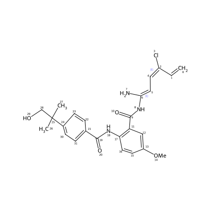 C=C/C(Cl)=C\C=C(/N)NC(=O)c1cc(OC)ccc1NC(=O)c1ccc(C(C)(C)CO)cc1